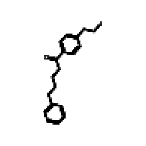 O=C(CCCCc1ccccc1)c1ccc(CCI)cc1